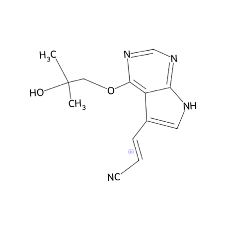 CC(C)(O)COc1ncnc2[nH]cc(/C=C/C#N)c12